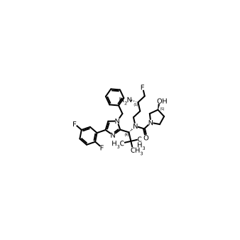 CC(C)(C)[C@H](c1nc(-c2cc(F)ccc2F)cn1Cc1ccccc1)N(CC[C@H](N)CF)C(=O)N1CC[C@H](O)C1